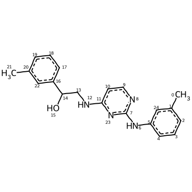 Cc1cccc(Nc2nccc(NCC(O)c3cccc(C)c3)n2)c1